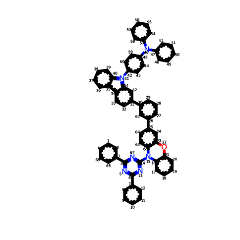 c1ccc(-c2nc(-c3ccccc3)nc(N3c4ccccc4Oc4cc(-c5cccc(-c6ccc7c8ccccc8n(-c8ccc(N(c9ccccc9)c9ccccc9)cc8)c7c6)c5)ccc43)n2)cc1